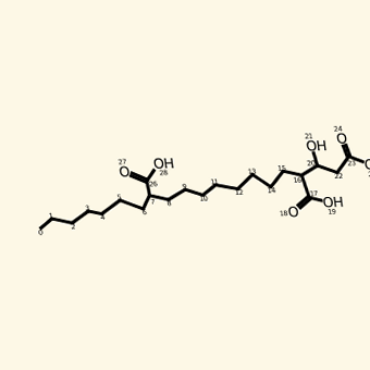 CCCCCCCC(CCCCCCCCC(C(=O)O)C(O)CC(=O)O)C(=O)O